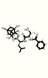 CC(C)C[C@H](NC(=O)[C@@H](NC(=O)c1ccccc1)[C@@H](C)O)B1O[C@@H]2C[C@@H]3C[C@@H](C3(C)C)[C@]2(C)O1